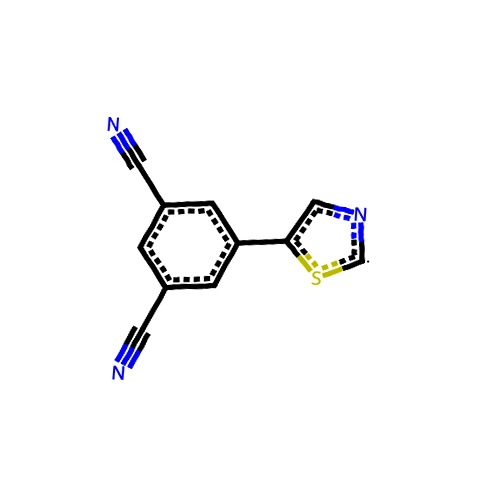 N#Cc1cc(C#N)cc(-c2cn[c]s2)c1